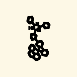 c1ccc(C2=NC(c3ccccc3)NC(c3cccc(-c4ccc5c(c4)C4(c6ccccc6-5)c5cccc6ccc7cccc4c7c56)c3)=N2)cc1